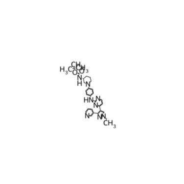 CCn1cc(-c2ccnc(Nc3ccc(N4CCC[C@@H](NC(=O)OC(C)(C)C)C4)cc3)n2)c(-c2cccnc2)n1